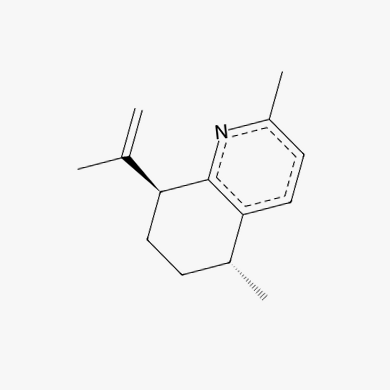 C=C(C)[C@@H]1CC[C@@H](C)c2ccc(C)nc21